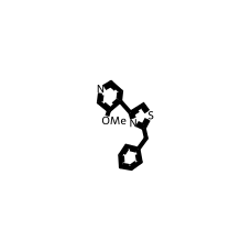 COc1cnccc1-c1csc(Cc2ccccc2)n1